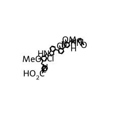 COc1cc(N[C@H]2CCc3c(-c4cccc(-c5ccc(CNC[C@@H]6CCC(=O)N6)c(OC)n5)c4Cl)cccc32)c(Cl)cc1CN1CC2(C(=O)O)CCC1CC2